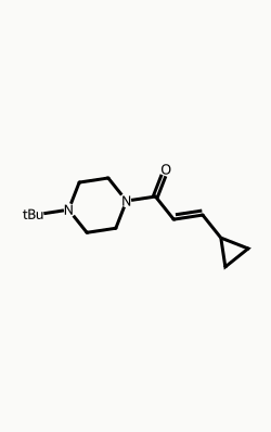 CC(C)(C)N1CCN(C(=O)/C=C/C2CC2)CC1